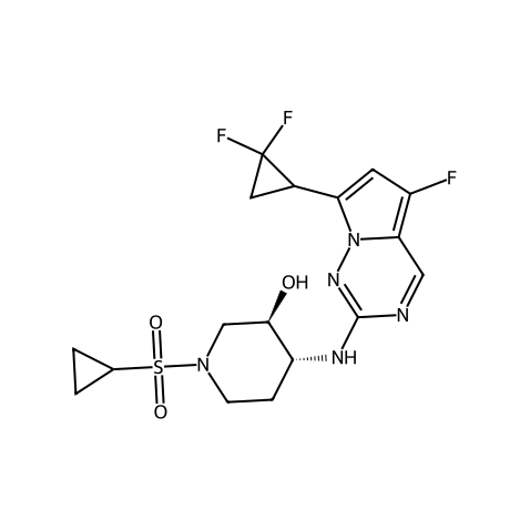 O=S(=O)(C1CC1)N1CC[C@@H](Nc2ncc3c(F)cc(C4CC4(F)F)n3n2)[C@H](O)C1